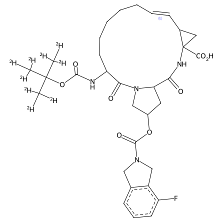 [2H]C([2H])([2H])C(OC(=O)NC1CCCCC/C=C/C2CC2(C(=O)O)NC(=O)C2CC(OC(=O)N3Cc4cccc(F)c4C3)CN2C1=O)(C([2H])([2H])[2H])C([2H])([2H])[2H]